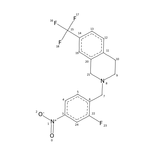 O=[N+]([O-])c1ccc(CN2CCc3ccc(C(F)(F)F)cc3C2)c(F)c1